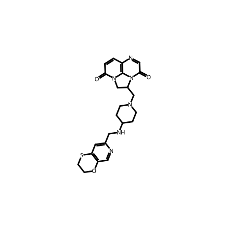 O=c1ccc2ncc(=O)n3c2n1CC3CN1CCC(NCc2cc3c(cn2)OCCS3)CC1